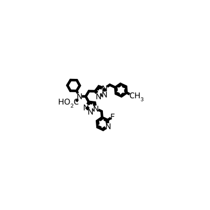 Cc1ccc(Cn2cc(CC(c3cn(Cc4cccnc4F)nn3)N(C(=O)O)C3CCCCC3)nn2)cc1